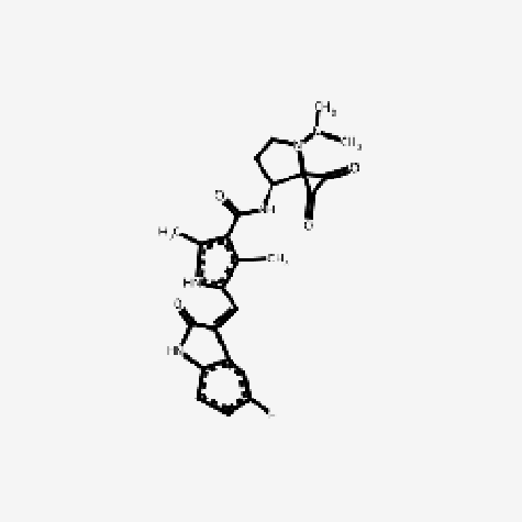 Cc1[nH]c(/C=C2\C(=O)Nc3ccc(F)cc32)c(C)c1C(=O)N[C@H]1CCN(N(C)C)C12C(=O)C2=O